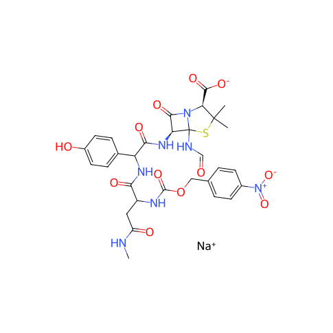 CNC(=O)CC(NC(=O)OCc1ccc([N+](=O)[O-])cc1)C(=O)NC(C(=O)N[C@H]1C(=O)N2[C@@H](C(=O)[O-])C(C)(C)SC12NC=O)c1ccc(O)cc1.[Na+]